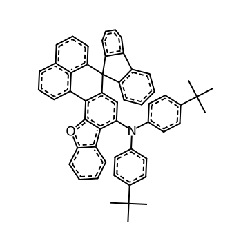 CC(C)(C)c1ccc(N(c2ccc(C(C)(C)C)cc2)c2cc3c(c4oc5ccccc5c24)-c2cccc4cccc(c24)C32c3ccccc3-c3ccccc32)cc1